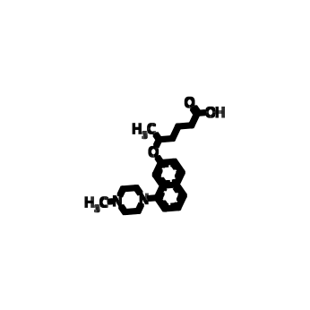 CC(CCCC(=O)O)Oc1ccc2cccc(N3CCN(C)CC3)c2c1